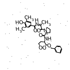 Cc1cc(C(=O)N[C@@H](C)C(=O)N2CCC[C@H]2C(=O)NC2CCOOC2OCc2ccccc2)cc(C)c1O